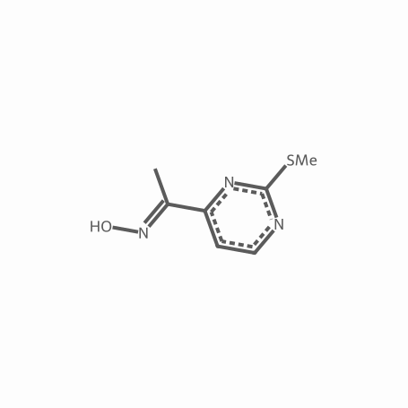 CSc1nccc(C(C)=NO)n1